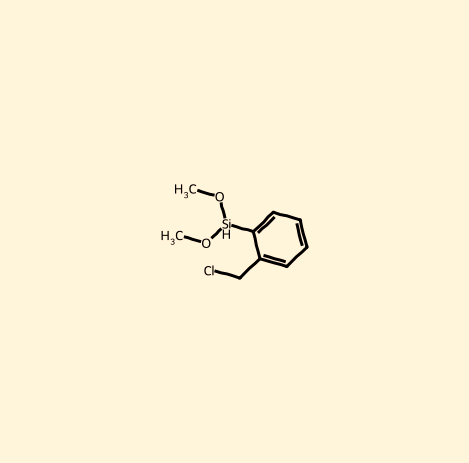 CO[SiH](OC)c1ccccc1CCl